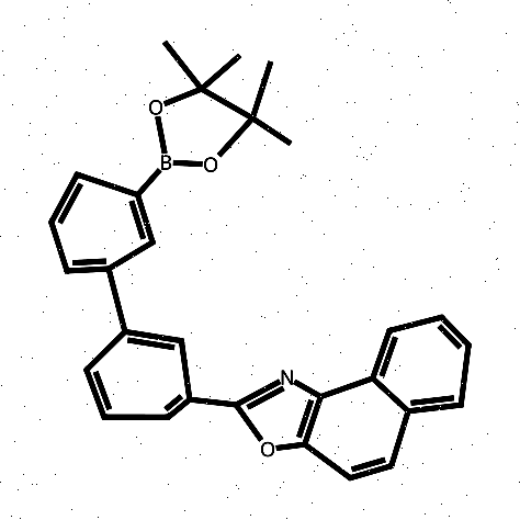 CC1(C)OB(c2cccc(-c3cccc(-c4nc5c(ccc6ccccc65)o4)c3)c2)OC1(C)C